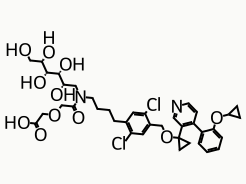 O=C(O)COCC(=O)N(CCCCc1cc(Cl)c(COC2(c3cnccc3-c3ccccc3OC3CC3)CC2)cc1Cl)C[C@H](O)[C@@H](O)[C@H](O)[C@H](O)CO